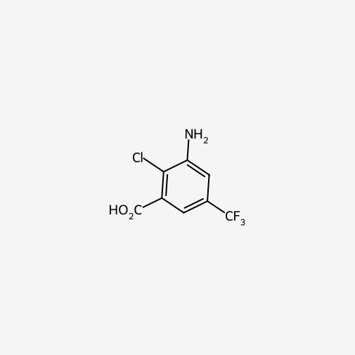 Nc1cc(C(F)(F)F)cc(C(=O)O)c1Cl